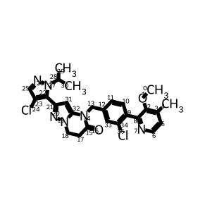 COc1c(C)ccnc1-c1ccc(CN2C(=O)CCn3nc(-c4c(Cl)cnn4C(C)C)cc32)cc1Cl